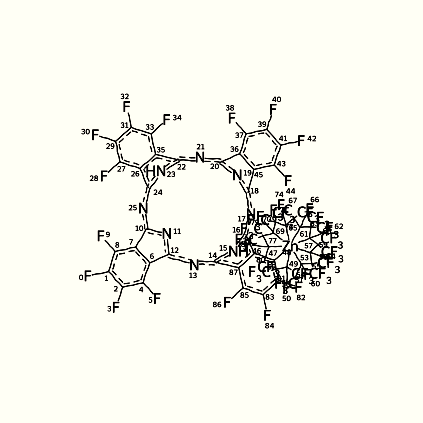 Fc1c(F)c(F)c2c(c1F)-c1nc-2nc2[nH]c(nc3nc(nc4[nH]c(n1)c1c(F)c(F)c(F)c(F)c41)-c1c(F)c(F)c(F)c(F)c1-3)c1[c]([Zn]([C](F)(C(F)(F)F)C(F)(F)F)([C](F)(C(F)(F)F)C(F)(F)F)([C](F)(C(F)(F)F)C(F)(F)F)([C](F)(C(F)(F)F)C(F)(F)F)([C](F)(C(F)(F)F)C(F)(F)F)([C](F)(C(F)(F)F)C(F)(F)F)([C](F)(C(F)(F)F)C(F)(F)F)[C](F)(C(F)(F)F)C(F)(F)F)c(F)c(F)c(F)c21